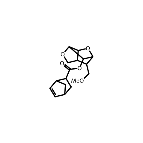 COCC1C2COC3C2OC1C3OC(=O)C1CC2C=CC1C2